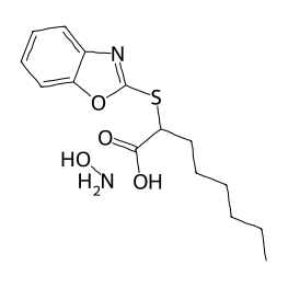 CCCCCCC(Sc1nc2ccccc2o1)C(=O)O.NO